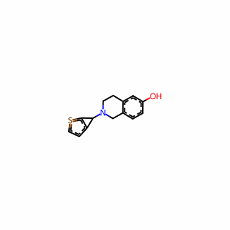 Oc1ccc2c(c1)CCN(C1c3ccsc31)C2